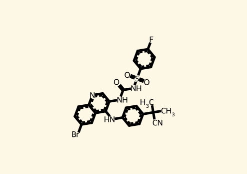 CC(C)(C#N)c1ccc(Nc2c(NC(=O)NS(=O)(=O)c3ccc(F)cc3)cnc3ccc(Br)cc23)cc1